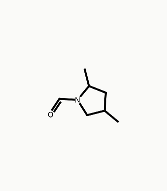 CC1CC(C)N(C=O)C1